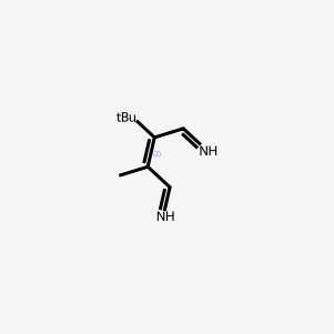 C/C(C=N)=C(/C=N)C(C)(C)C